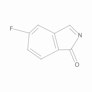 O=C1N=Cc2cc(F)ccc21